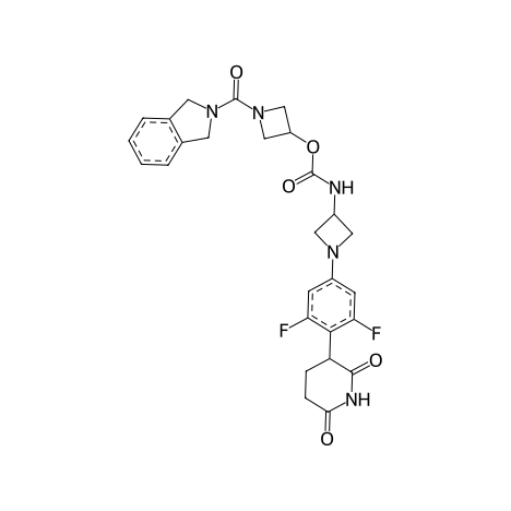 O=C1CCC(c2c(F)cc(N3CC(NC(=O)OC4CN(C(=O)N5Cc6ccccc6C5)C4)C3)cc2F)C(=O)N1